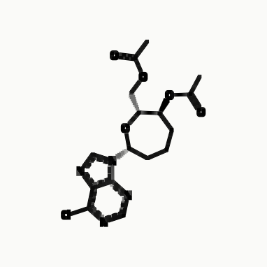 CC(=O)OC[C@H]1O[C@@H](n2cnc3c(Cl)ncnc32)CCC[C@@H]1OC(C)=O